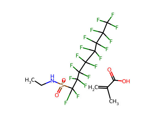 C=C(C)C(=O)O.CCNS(=O)(=O)C(F)(F)C(F)(F)C(F)(F)C(F)(F)C(F)(F)C(F)(F)C(F)(F)C(F)(F)F